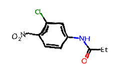 CCC(=O)Nc1ccc([N+](=O)[O-])c(Cl)c1